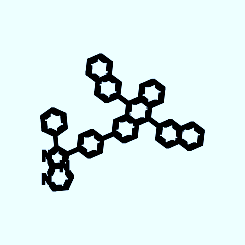 c1ccc(-c2nc3ncccn3c2-c2ccc(-c3ccc4c(-c5ccc6ccccc6c5)c5ccccc5c(-c5ccc6ccccc6c5)c4c3)cc2)cc1